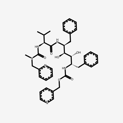 CC(C)[C@H](NC(=O)N(C)Cc1ccccn1)C(=O)N[C@@H](Cc1ccccc1)[C@H](O)[C@H](O)[C@H](Cc1ccccc1)NC(=O)OCc1cccnc1